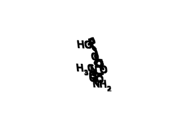 CN1C(=O)[C@@H](OC(N)=O)COc2ccc(OCC#CC3(O)CCC3)cc21